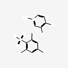 Cc1cc(C)c(S(=O)(=O)[O-])c(C)c1.N[n+]1ccc(Br)c(F)c1